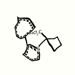 O=C(O)C1(n2cccc2-c2ccccc2)CCC1